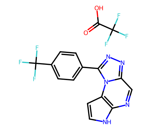 FC(F)(F)c1ccc(-c2nnc3cnc4[nH]ccc4n23)cc1.O=C(O)C(F)(F)F